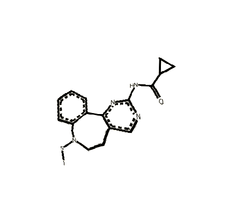 O=C(Nc1ncc2c(n1)-c1ccccc1N(SI)CC2)C1CC1